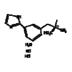 C[C@](N)(Cc1cccc(-c2ncc[nH]2)c1)C(=O)O.Cl.Cl.O